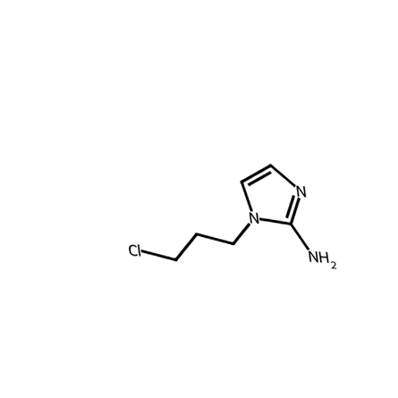 Nc1nccn1CCCCl